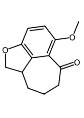 COc1ccc2c3c1C(=O)CCCC3CO2